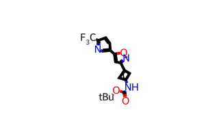 CC(C)(C)OC(=O)NC12CC(c3cc(-c4ccc(C(F)(F)F)nc4)on3)(C1)C2